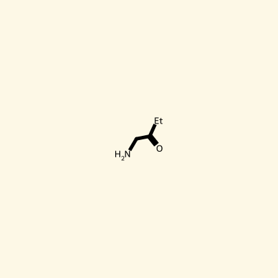 [CH2]CC(=O)CN